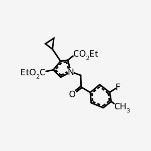 CCOC(=O)c1cn(CC(=O)c2ccc(C)c(F)c2)c(C(=O)OCC)c1C1CC1